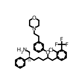 NC[C@@H](CCCC(Cc1cccc(C(F)(F)F)c1Cl)Oc1cccc(CCN2CCOCC2)c1)c1ccccc1